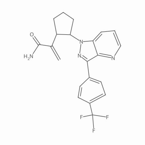 C=C(C(N)=O)C1CCCC1n1nc(-c2ccc(C(F)(F)F)cc2)c2ncccc21